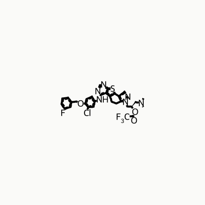 CN(C)C[C@H](Cn1ncc2c1CCc1c-2sc2ncnc(Nc3ccc(OCc4cccc(F)c4)c(Cl)c3)c12)OC(=O)C(F)(F)F